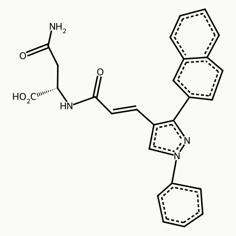 NC(=O)C[C@H](NC(=O)C=Cc1cn(-c2ccccc2)nc1-c1ccc2ccccc2c1)C(=O)O